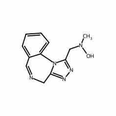 CN(O)Cc1nnc2n1-c1ccccc1C=NC2